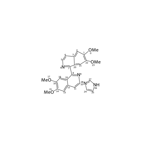 COc1cc2ccnc(-c3nccc4cc(OC)c(OC)cc34)c2cc1OC.c1c[nH]cn1